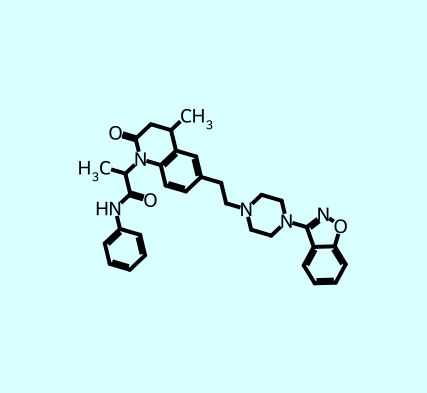 CC1CC(=O)N(C(C)C(=O)Nc2ccccc2)c2ccc(CCN3CCN(c4noc5ccccc45)CC3)cc21